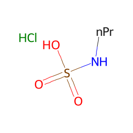 CCCNS(=O)(=O)O.Cl